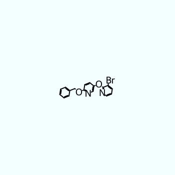 Brc1cccnc1Oc1ccc(OCc2ccccc2)nc1